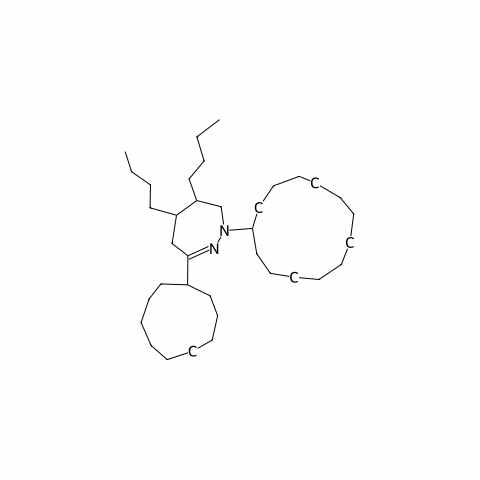 CCCCC1CC(C2CCCCCCCCC2)=NN(C2CCCCCCCCCCCC2)CC1CCCC